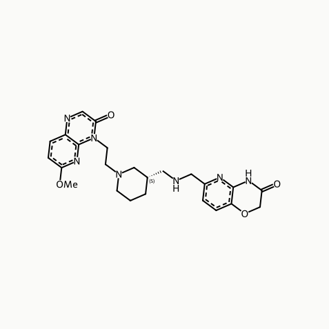 COc1ccc2ncc(=O)n(CCN3CCC[C@@H](CNCc4ccc5c(n4)NC(=O)CO5)C3)c2n1